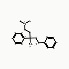 CN(C)CCC(CCc1ccccc1)(C(=O)O)c1ccccc1